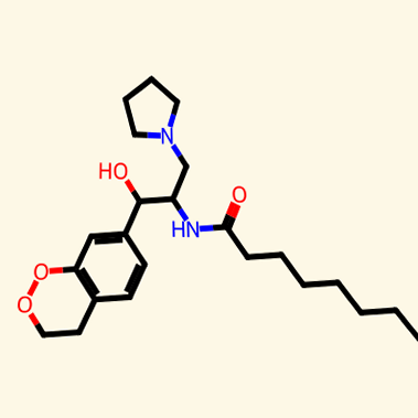 CCCCCCCC(=O)NC(CN1CCCC1)C(O)c1ccc2c(c1)OOCC2